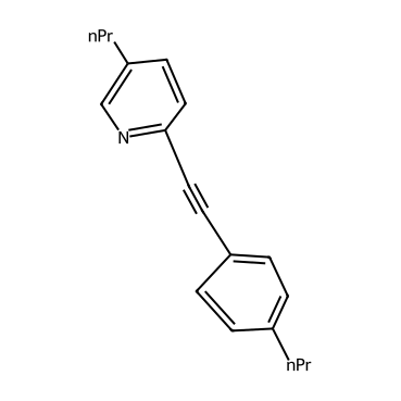 CCCc1ccc(C#Cc2ccc(CCC)cn2)cc1